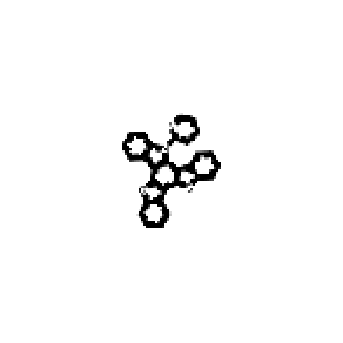 c1ccc(-n2c3ccccc3c3c4oc5ccccc5c4c4sc5ccccc5c4c32)nc1